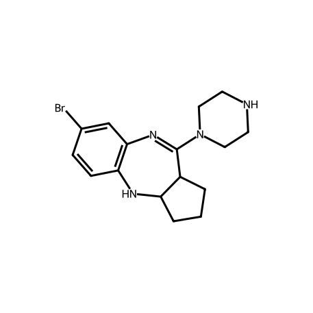 Brc1ccc2c(c1)N=C(N1CCNCC1)C1CCCC1N2